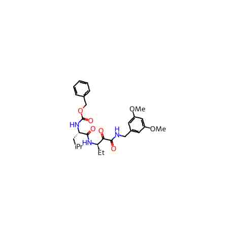 CC[C@@H](NC(=O)[C@H](CC(C)C)NC(=O)OCc1ccccc1)C(=O)C(=O)NCc1cc(OC)cc(OC)c1